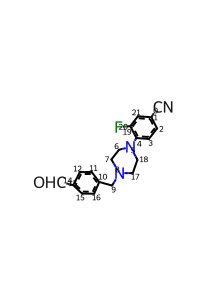 N#Cc1ccc(N2CCN(Cc3ccc(C=O)cc3)CC2)c(F)c1